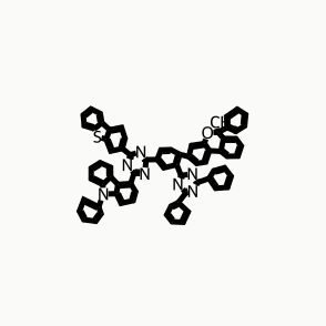 CC1(c2ccccc2)Oc2cc(-c3ccc(-c4nc(-c5ccc6c(c5)sc5ccccc56)nc(-c5cccc6c5c5ccccc5n6-c5ccccc5)n4)cc3-c3nc(-c4ccccc4)nc(-c4ccccc4)n3)ccc2-c2ccccc21